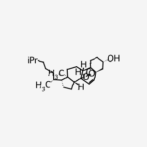 CC(C)CCC[C@@H](C)[C@H]1CC[C@@H]2[C@]1(C)CC[C@H]1[C@]23C=C[C@]2(C[C@@H](O)CC[C@]12C)OO3